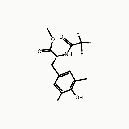 COC(=O)[C@H](Cc1cc(C)c(O)c(C)c1)NC(=O)C(F)(F)F